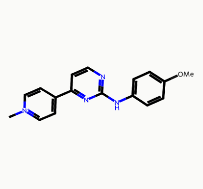 COc1ccc(Nc2nccc(-c3cc[n+](C)cc3)n2)cc1